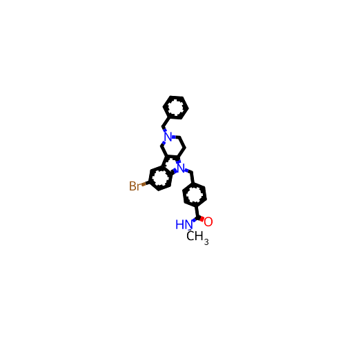 CNC(=O)c1ccc(Cn2c3c(c4cc(Br)ccc42)CN(Cc2ccccc2)CC3)cc1